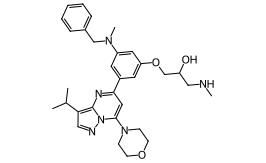 CNCC(O)COc1cc(-c2cc(N3CCOCC3)n3ncc(C(C)C)c3n2)cc(N(C)Cc2ccccc2)c1